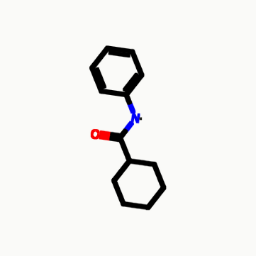 O=C([N]c1ccccc1)C1CCCCC1